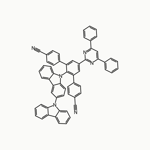 N#Cc1ccc(-c2cc(-c3nc(-c4ccccc4)cc(-c4ccccc4)n3)cc(-c3ccc(C#N)cc3)c2-n2c3ccccc3c3cc(-n4c5ccccc5c5ccccc54)ccc32)cc1